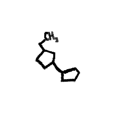 CCC1CCC(C2=CCCC2)C1